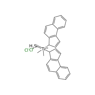 [CH3][Ti+2]([CH3])(=[SiH2])([CH]1C=Cc2c1ccc1ccccc21)[CH]1C=Cc2c1ccc1ccccc21.[Cl-].[Cl-]